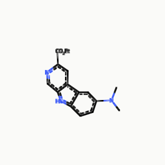 CCOC(=O)c1cc2c(cn1)[nH]c1ccc(N(C)C)cc12